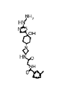 Cc1cccc(C(=O)NCC(=O)NC2CN([C@H]3CC[C@@](O)(c4cnc(NCN)s4)CC3)C2)c1